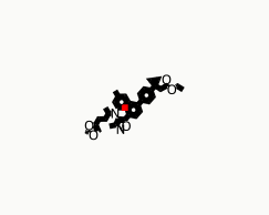 CCOC(=O)CC1(c2ccc(-c3ccc(-c4onc(C)c4N(c4cccc(C)c4)C(C)CCC4=COCO4)cc3)cc2)CC1